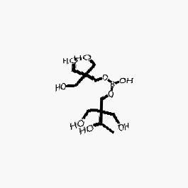 CC(O)C(CO)(CO)COB(O)OCC(CO)(CO)CO